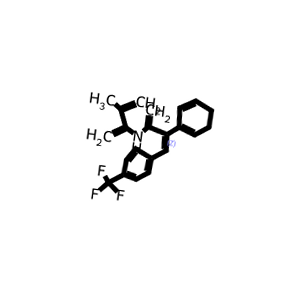 C=C(C)C(=C)NC(=C)/C(=C\c1ccc(C(F)(F)F)cc1)C1=CCCC=C1